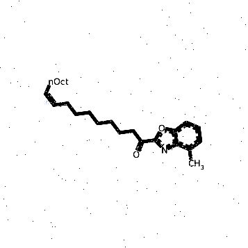 CCCCCCCC/C=C\CCCCCCCC(=O)c1nc2c(C)cccc2o1